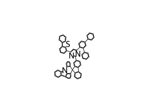 c1ccc(-c2ccc(-c3cc(-c4cccc5c4sc4ccccc45)nc(-c4ccc5c(c4)C4(c6ccccc6-5)c5ccccc5-n5c6ccccc6c6cccc4c65)n3)c(-c3ccccc3)c2)cc1